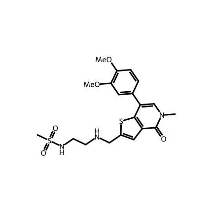 COc1ccc(-c2cn(C)c(=O)c3cc(CNCCNS(C)(=O)=O)sc23)cc1OC